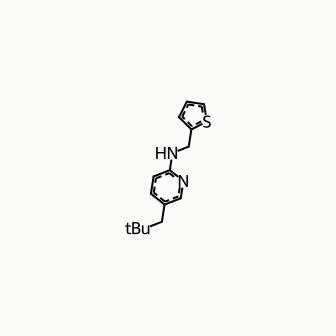 CC(C)(C)Cc1ccc(NCc2cccs2)nc1